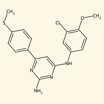 COc1ccc(Nc2cc(-c3ccc(SC)cc3)nc(N)n2)cc1Cl